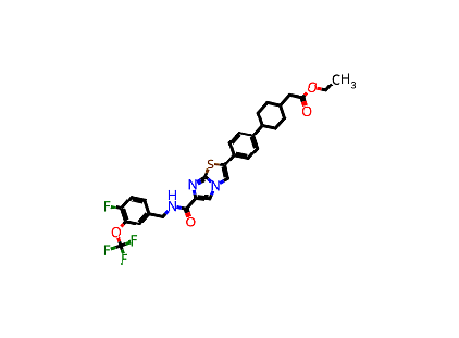 CCOC(=O)CC1CCC(c2ccc(-c3cn4cc(C(=O)NCc5ccc(F)c(OC(F)(F)F)c5)nc4s3)cc2)CC1